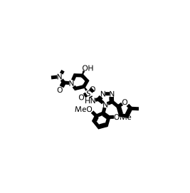 COc1cccc(OC)c1-n1c(NS(=O)(=O)[C@@H]2C[C@H](O)CN(C(=O)N(C)C)C2)nnc1-c1ccc(C)o1